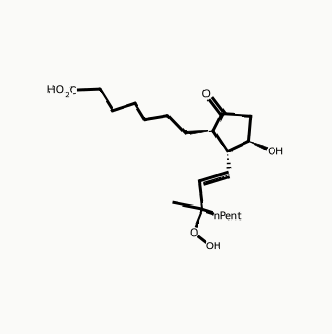 CCCCCC(C)(C=C[C@H]1[C@H](O)CC(=O)[C@@H]1CCCCCCC(=O)O)OO